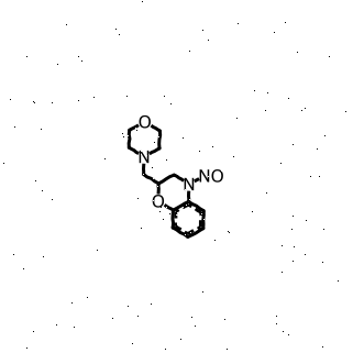 O=NN1CC(CN2CCOCC2)Oc2ccccc21